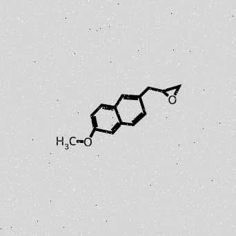 COc1ccc2cc(CC3CO3)ccc2c1